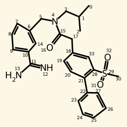 CC(C)CN(Cc1cccc(C(=N)N)c1)C(=O)Cc1ccc(-c2ccccc2)c(S(C)(=O)=O)c1